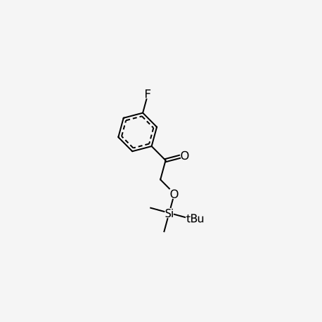 CC(C)(C)[Si](C)(C)OCC(=O)c1cccc(F)c1